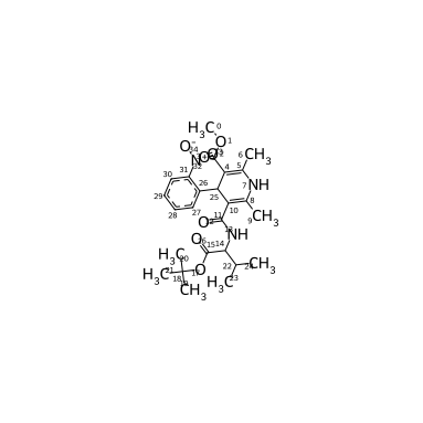 COC(=O)C1=C(C)NC(C)=C(C(=O)NC(C(=O)OC(C)(C)C)C(C)C)C1c1ccccc1[N+](=O)[O-]